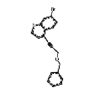 Brc1ccc2c(C#CCOCc3ccccc3)ccnc2c1